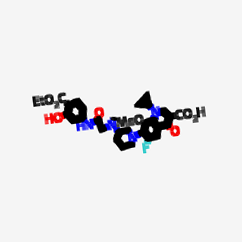 CCOC(=O)c1ccc(NC(=O)CN(C)C2CCCN(c3c(F)cc4c(=O)c(C(=O)O)cn(C5CC5)c4c3OC)C2)cc1O